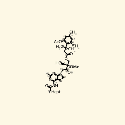 C#CC(COC(=O)CC(C)(C)c1c(C)cc(C)cc1OC(C)=O)(OC)[C@@H](O)Cn1cnc2c(NC(=O)CCCCCCC)nc(F)nc21